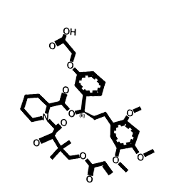 C=CC(=O)OCC(C)(C)C(=O)C(=O)N1CCCCC1C(=O)O[C@H](CCc1cc(OC)c(OC)cc1OC)c1cccc(OCC(=O)O)c1